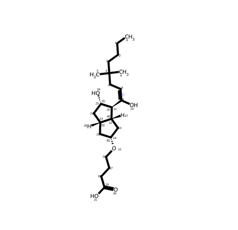 CCCCC(C)(C)C/C=C(/O)[C@H]1[C@@H]2C[C@H](OCCCC(=O)O)C[C@@H]2C[C@@H]1O